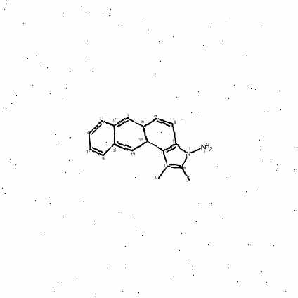 Cc1c2c(n(N)c1C)C=CC1C=c3ccccc3=CC21